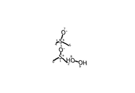 C[S+](C)[O-].C[S+](C)[O-].OO